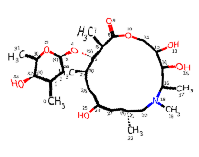 CC1C[C@H](O[C@@H]2C(C)C(=O)OCC(O)C(O)C(C)N(C)C[C@H](C)CC(O)C[C@H]2C)OC(C)[C@@H]1O